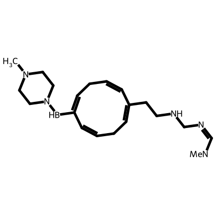 CN/C=N\CNCCC1=C/C/C=C\C(BN2CCN(C)CC2)=C/C/C=C\1